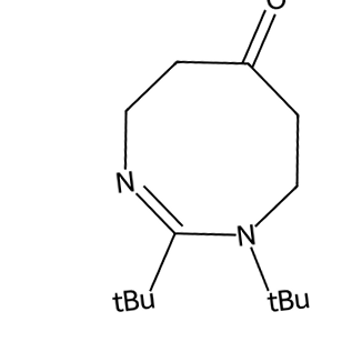 CC(C)(C)/C1=N/CCC(=O)CCN1C(C)(C)C